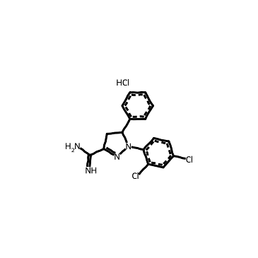 Cl.N=C(N)C1=NN(c2ccc(Cl)cc2Cl)C(c2ccccc2)C1